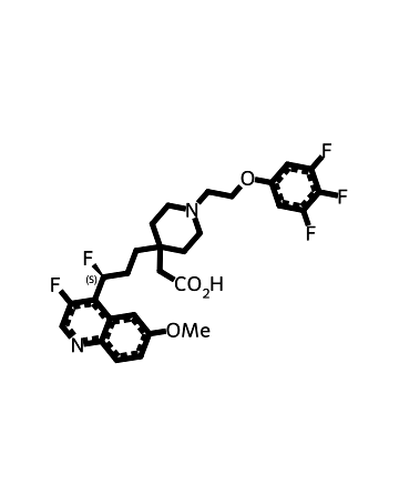 COc1ccc2ncc(F)c([C@@H](F)CCC3(CC(=O)O)CCN(CCOc4cc(F)c(F)c(F)c4)CC3)c2c1